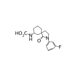 O=C(O)NC1CCCC2(CCN(c3cccc(F)c3)C2=O)C1